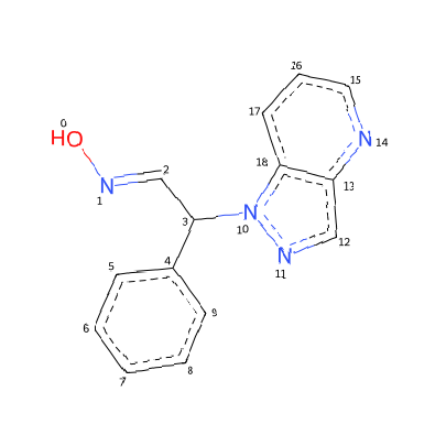 ON=CC(c1ccccc1)n1ncc2ncccc21